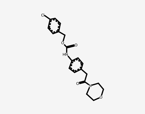 O=C(Nc1ccc(CC(=O)N2CCOCC2)cc1)OCc1ccc(Cl)cc1